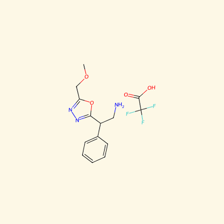 COCc1nnc(C(CN)c2ccccc2)o1.O=C(O)C(F)(F)F